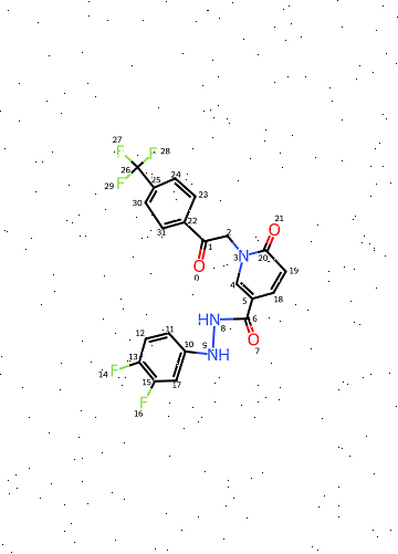 O=C(Cn1cc(C(=O)NNc2ccc(F)c(F)c2)ccc1=O)c1ccc(C(F)(F)F)cc1